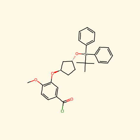 COc1ccc(C(=O)Cl)cc1O[C@@H]1CC[C@@H](O[Si](c2ccccc2)(c2ccccc2)C(C)(C)C)C1